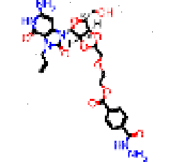 C=CCn1c(=O)n([C@@H]2O[C@H](CO)[C@H]3OC(COCCOC(=O)c4ccc(C(=O)NN)cc4)O[C@H]32)c2cc(N)[nH]c(=O)c21